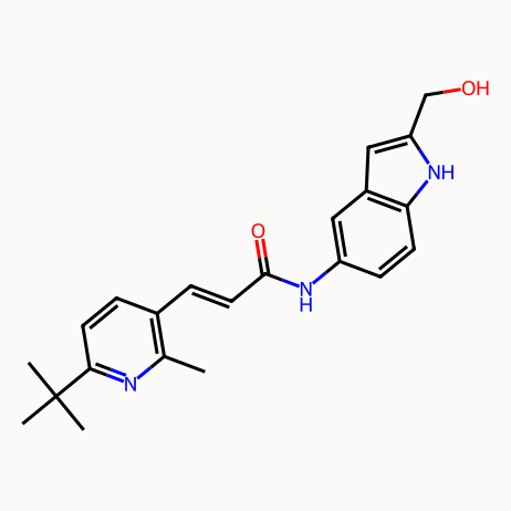 Cc1nc(C(C)(C)C)ccc1C=CC(=O)Nc1ccc2[nH]c(CO)cc2c1